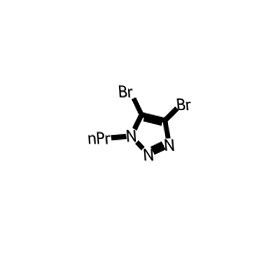 CCCn1nnc(Br)c1Br